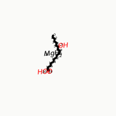 CCCCCC[C@@H](O)C/C=C\CCCCCCCC(=O)O.[MgH2]